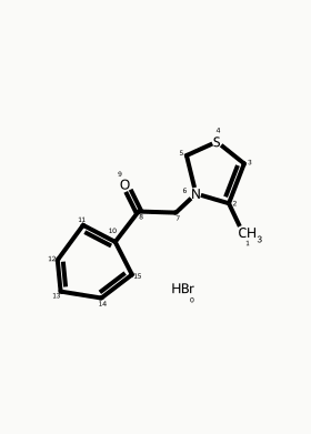 Br.CC1=CSCN1CC(=O)c1ccccc1